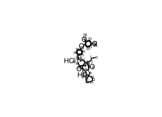 CCCCN1C(=O)[C@@H](CC2(O)CCCCC2)NC(=O)C12CCN(Cc1ccc(Oc3ccc(OC)cc3OC)cc1)CC2.Cl